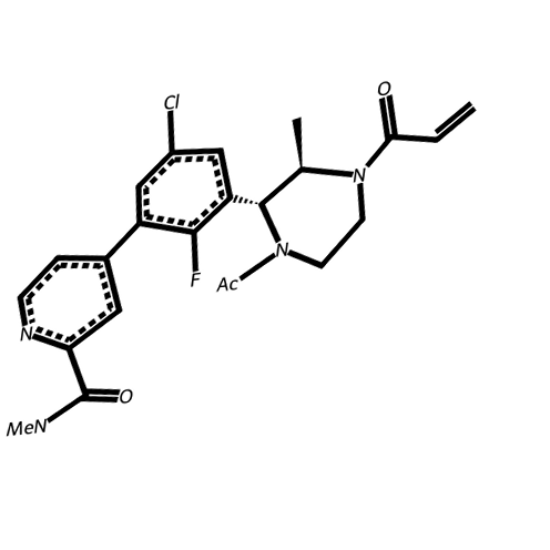 C=CC(=O)N1CCN(C(C)=O)[C@H](c2cc(Cl)cc(-c3ccnc(C(=O)NC)c3)c2F)[C@H]1C